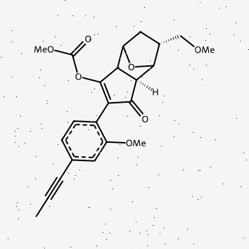 CC#Cc1ccc(C2=C(OC(=O)OC)C3C4C[C@H](COC)C(O4)[C@H]3C2=O)c(OC)c1